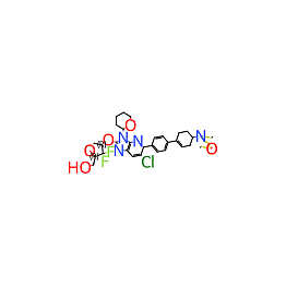 CS(C)(=O)=NC1CC=C(c2ccc(-c3nc4c(cc3Cl)nc(O[C@@H]3CO[C@H](CO)C3(F)F)n4C3CCCCO3)cc2)CC1